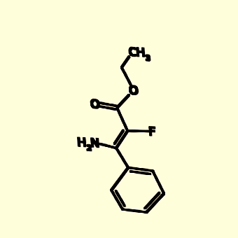 CCOC(=O)C(F)=C(N)c1ccccc1